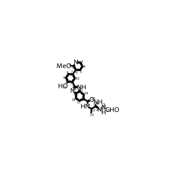 COc1ncccc1-c1ccc(O)c(-c2nc3ccc(C(=O)NC(C)/C(N)=N/NC=O)cc3[nH]2)c1